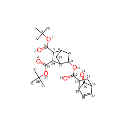 CC(C)(C)OC(=O)C1C2CC(OC(=O)C3CC4C=CC3C4=O)C(C2)C1C(=O)OC(C)(C)C